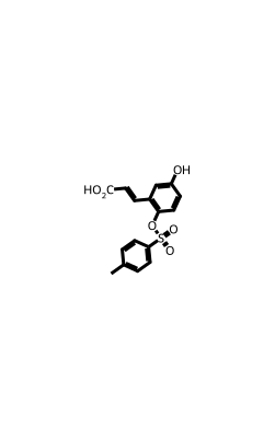 Cc1ccc(S(=O)(=O)Oc2ccc(O)cc2C=CC(=O)O)cc1